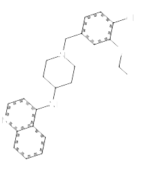 CCOc1cc(CN2CCC(Nc3ccnc4ccccc34)CC2)ccc1Cl